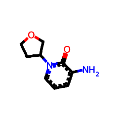 Nc1cccn(C2CCOC2)c1=O